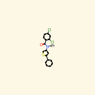 CC(C)N(C(=O)c1ccc(Cl)cc1Cl)c1csc(-c2ccccc2)c1